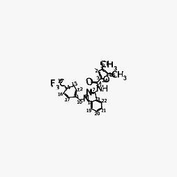 Cc1cc(C(=O)Nc2nn(CC3=CCC(C(F)(F)F)C=C3)c3ccccc23)oc1C